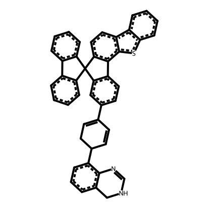 C1=CC(c2cccc3c2N=CNC3)CC=C1c1ccc2c(c1)C1(c3ccccc3-c3ccccc31)c1ccc3c(sc4ccccc43)c1-2